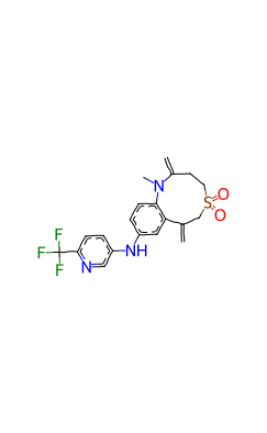 C=C1CS(=O)(=O)CCC(=C)N(C)c2ccc(Nc3ccc(C(F)(F)F)nc3)cc21